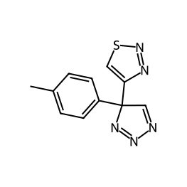 Cc1ccc(C2(c3csnn3)C=NN=N2)cc1